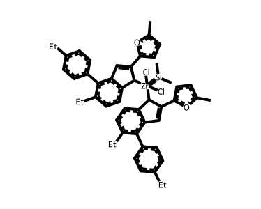 CCc1ccc(-c2c(CC)ccc3c2C=C(c2ccc(C)o2)[CH]3[Zr]([Cl])([Cl])([CH]2C(c3ccc(C)o3)=Cc3c2ccc(CC)c3-c2ccc(CC)cc2)=[Si](C)C)cc1